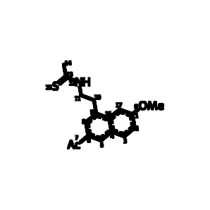 COc1ccc2cc(C(C)=O)cc(CCNC(C)=S)c2c1